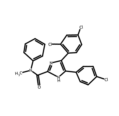 CN(C(=O)c1nc(-c2ccc(Cl)cc2Cl)c(-c2ccc(Cl)cc2)[nH]1)c1ccccc1